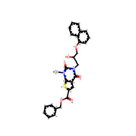 Cn1c(=O)n(CC(O)COc2cccc3ccccc23)c(=O)c2cc(C(=O)OCc3ccccc3)sc21